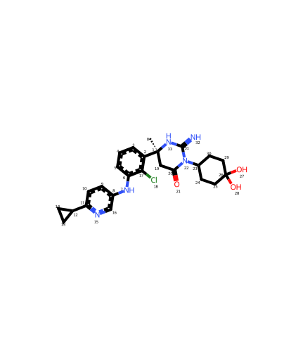 C[C@@]1(c2cccc(Nc3ccc(C4CC4)nc3)c2Cl)CC(=O)N(C2CCC(O)(O)CC2)C(=N)N1